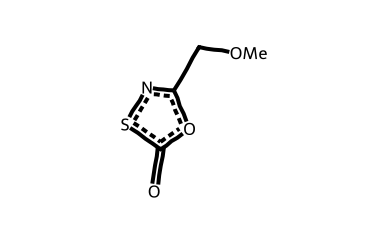 COCc1nsc(=O)o1